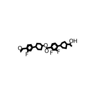 CC(O)C1CCC(c2ccc(C(=O)OC3CCC(c4ccc(C5CO5)c(F)c4)CC3)c(F)c2F)CC1